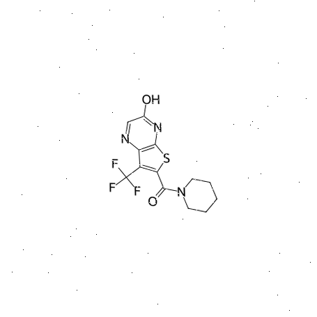 O=C(c1sc2nc(O)cnc2c1C(F)(F)F)N1CCCCC1